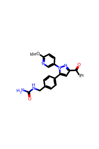 COc1ccc(-n2nc(C(=O)C(C)C)cc2-c2ccc(CNC(N)=O)cc2)cn1